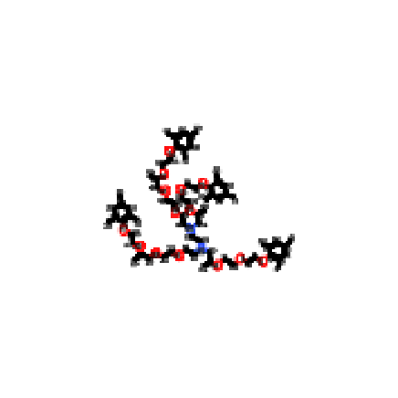 Cc1cc(C)c(OCCOCCOC(C)CN(CCOCCOCC(C)OCCOc2c(C)cc(C)cc2C)CCN(CCOCCOCC(C)OCCOc2c(C)cc(C)cc2C)CC(C)OCCOCCOc2c(C)cc(C)cc2C)c(C)c1